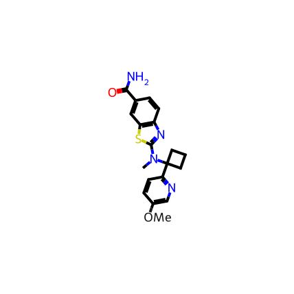 COc1ccc(C2(N(C)c3nc4ccc(C(N)=O)cc4s3)CCC2)nc1